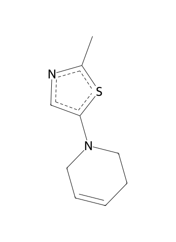 Cc1ncc(N2CC=CCC2)s1